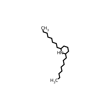 CCCCCCCCC1CCCC(CCCCCCCC)N1